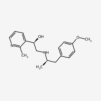 COc1ccc(C[C@@H](C)NC[C@H](O)c2cccnc2C)cc1